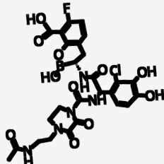 CC(=O)NCCN1CCN(C(=O)NC(C(=O)N[C@H]2Cc3ccc(F)c(C(=O)O)c3OB2O)c2ccc(O)c(O)c2Cl)C(=O)C1=O